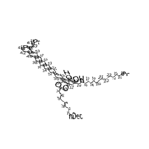 CCCCCCCCCCCCCCCCCC(=O)OC(CCCCCCCCCCCCCCCC(C)C)(CCCCCCCCCCCCCCCC(C)C)C(O)(CO)CCCCCCCCCCCCCCCC(C)C